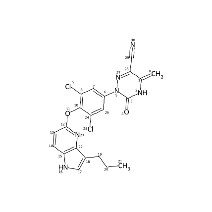 C=C1NC(=O)N(c2cc(Cl)c(Oc3ccc4[nH]cc(CCC)c4n3)c(Cl)c2)N=C1C#N